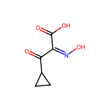 O=C(O)C(=NO)C(=O)C1CC1